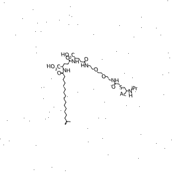 C=C(C)CCCCCCCCCCCCCCC(=O)NC(CCC(=O)NC(CCC(=O)NCCOCCOCCNC(=O)CSCC(NC(C)C)C(C)=O)C(=O)O)C(=O)O